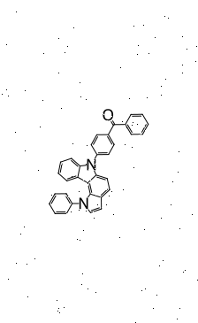 O=C(c1ccccc1)c1ccc(-n2c3ccccc3c3c4c(ccc32)ccn4-c2ccccc2)cc1